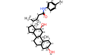 CC(=O)c1ccc(NC(=O)CCC(C)[C@H]2CCC3C4CCC5C[C@H](O)CC[C@]5(C)C4C[C@H](O)[C@@]32C)cc1